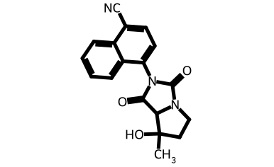 CC1(O)CCN2C(=O)N(c3ccc(C#N)c4ccccc34)C(=O)C21